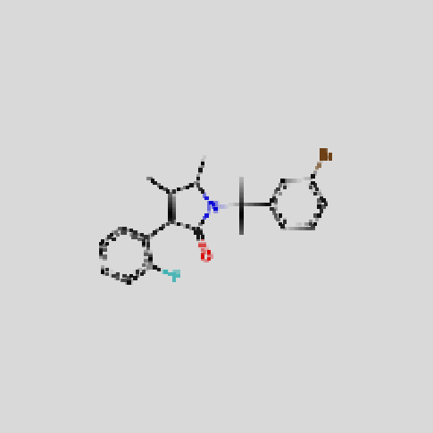 CC1=C(c2ccccc2F)C(=O)N(C(C)(C)c2cccc(Br)c2)C1C